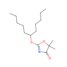 CCCCCC(CCCCC)OC1=NC(=O)C(C)(C)O1